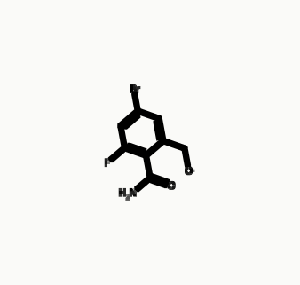 NC(=O)c1c(F)cc(Br)cc1C[O]